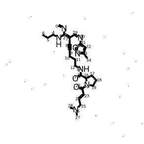 C=N/C(NCCC)=C(C#CCCCNC(=O)C1CCCN1C(=O)/C=C/CN(C)C)\C=N/c1cc(C)no1